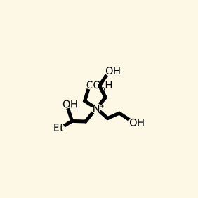 CCC(O)C[N+](CCO)(CCO)CC(=O)O